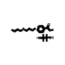 CC(C)(O)C(C)(C)O.CCC(=O)c1ccccc1.CCCCOCCCC